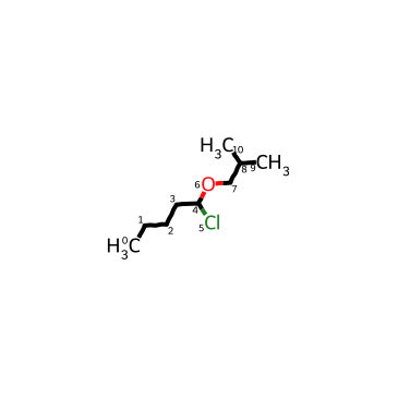 CCCCC(Cl)OCC(C)C